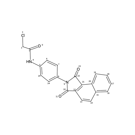 O=C(CCl)Nc1ccc(N2C(=O)c3ccc4ccccc4c3C2=O)cc1